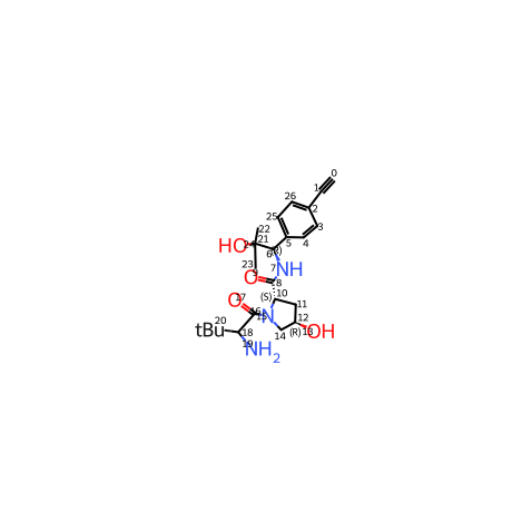 C#Cc1ccc([C@@H](NC(=O)[C@@H]2C[C@@H](O)CN2C(=O)C(N)C(C)(C)C)C(C)(C)O)cc1